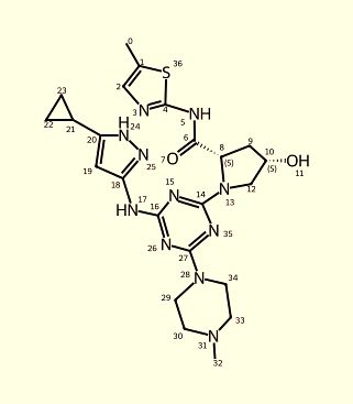 Cc1cnc(NC(=O)[C@@H]2C[C@H](O)CN2c2nc(Nc3cc(C4CC4)[nH]n3)nc(N3CCN(C)CC3)n2)s1